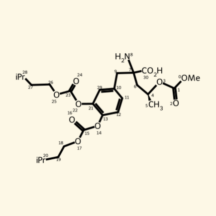 COC(=O)O[C@@H](C)CC(N)(Cc1ccc(OC(=O)OCCC(C)C)c(OC(=O)OCCC(C)C)c1)C(=O)O